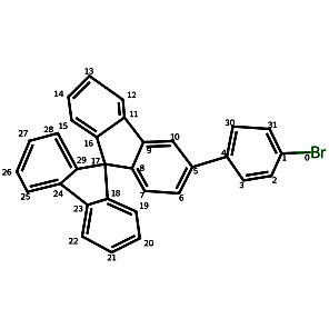 Brc1ccc(-c2ccc3c(c2)-c2ccccc2C32c3ccccc3-c3ccccc32)cc1